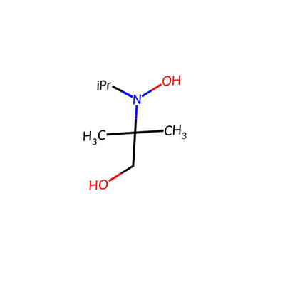 CC(C)N(O)C(C)(C)CO